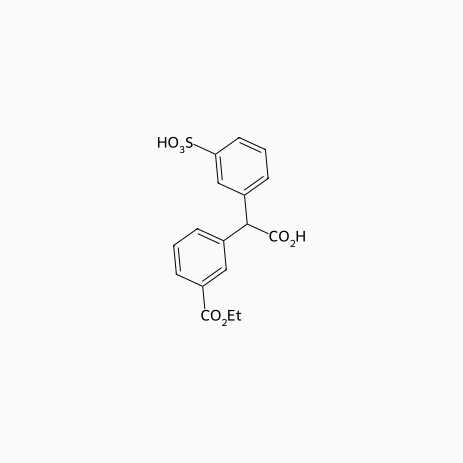 CCOC(=O)c1cccc(C(C(=O)O)c2cccc(S(=O)(=O)O)c2)c1